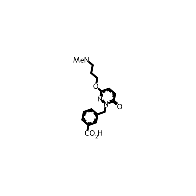 CNCCCOc1ccc(=O)n(Cc2cccc(C(=O)O)c2)n1